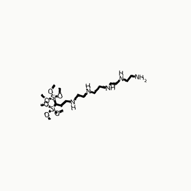 CO[Si](OC)(OC)C(CCNCCNCCNCCNCCN)[Si](OC)(OC)OC